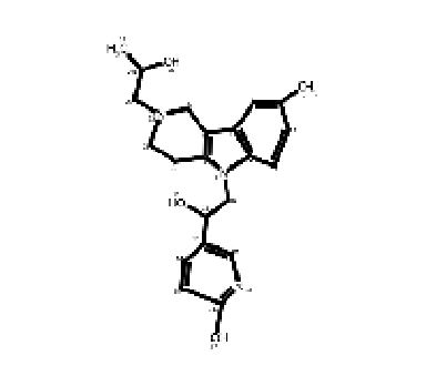 Cc1ccc2c(c1)c1c(n2CC(O)c2ccc(O)nc2)CCN(CC(C)O)C1